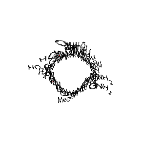 CCCC[C@H]1C(=O)N(C)[C@@H](CCCC)C(=O)N[C@@H](CCCN)C(=O)N[C@H](C(=O)NCC(N)=O)CSCC(=O)N[C@@H](Cc2ccc(OC)cc2)C(=O)N(C)[C@@H](C)C(=O)N[C@@H](CC(=O)O)C(=O)N2CCC[C@H]2C(=O)N[C@@H](CN)C(=O)N[C@@H](CCC(=O)O)C(=O)N2C[C@H](O)C[C@H]2C(=O)N[C@@H](Cc2c[nH]c3ccccc23)C(=O)N[C@@H](CC(=O)O)C(=O)N[C@@H](Cc2c[nH]c3ccccc23)C(=O)N1C